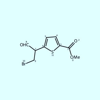 COC(=O)c1ccc(C(C=O)CBr)s1